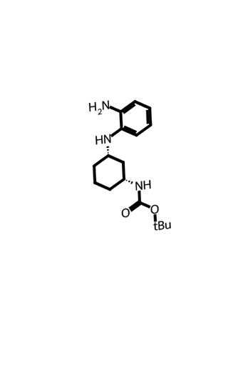 CC(C)(C)OC(=O)N[C@@H]1CCC[C@H](Nc2ccccc2N)C1